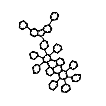 c1ccc(-c2ccc3c(c2)c2cc(-c4ccccc4)ccc2n3-c2ccc(-c3c(-c4ccccc4)c(-c4ccccc4)c4c5cccc6c7c(-c8ccccc8)c(-c8ccccc8)c(-c8ccccc8)c(-c8ccccc8)c7c7cccc(c4c3-c3ccccc3)c7c65)cc2)cc1